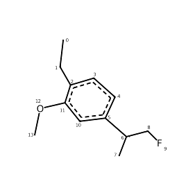 CCc1ccc([C](C)CF)cc1OC